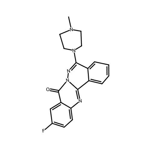 CN1CCN(c2nn3c(=O)c4cc(F)ccc4nc3c3ccccc23)CC1